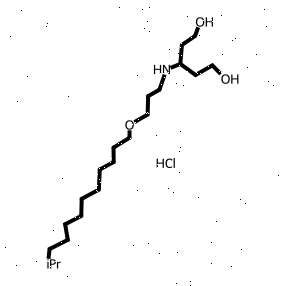 CC(C)CCCCCCCCCCOCCCNC(CCO)CCO.Cl